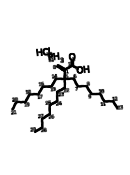 C=C(C(=O)O)C(CCCCCCCC)(CCCCCCCC)CCCCCCCC.Cl.P